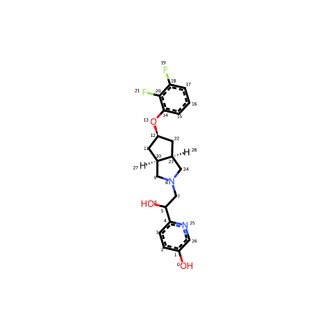 Oc1ccc(C(O)CN2C[C@H]3C[C@@H](Oc4cccc(F)c4F)C[C@H]3C2)nc1